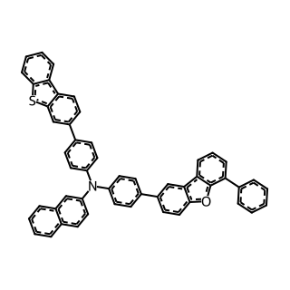 c1ccc(-c2cccc3c2oc2ccc(-c4ccc(N(c5ccc(-c6ccc7c(c6)sc6ccccc67)cc5)c5ccc6ccccc6c5)cc4)cc23)cc1